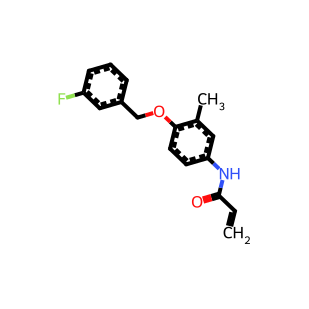 C=CC(=O)Nc1ccc(OCc2cccc(F)c2)c(C)c1